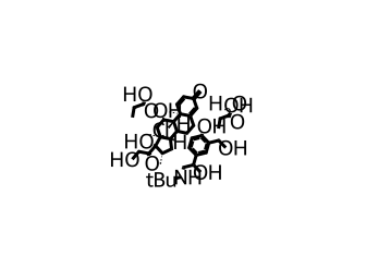 CC(C)(C)NCC(O)c1ccc(O)c(CO)c1.CCC(=O)O.CCC(=O)O.C[C@H]1C[C@H]2[C@@H]3CCC4=CC(=O)C=C[C@]4(C)[C@@]3(Cl)[C@@H](O)C[C@]2(C)[C@@]1(O)C(=O)CO.O